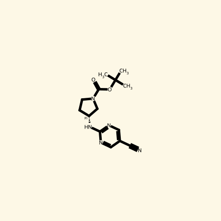 CC(C)(C)OC(=O)N1CC[C@@H](Nc2ncc(C#N)cn2)C1